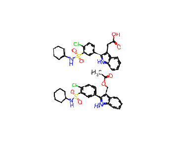 CC(=O)OCc1c(-c2ccc(Cl)c(S(=O)(=O)NC3CCCCC3)c2)[nH]c2ccccc12.O=C(O)Cc1c(-c2ccc(Cl)c(S(=O)(=O)NC3CCCCC3)c2)[nH]c2ccccc12